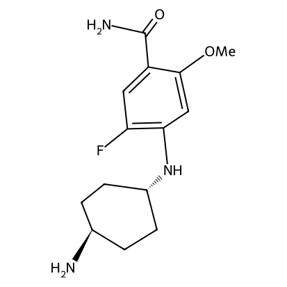 COc1cc(N[C@H]2CC[C@H](N)CC2)c(F)cc1C(N)=O